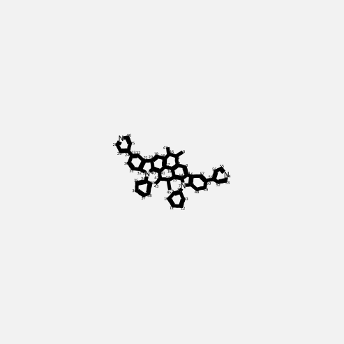 CC1c2cc3c4c(n(-c5ccccc5)c3c3c2-c2c(cc5c6cc(-c7ccncc7)ccc6n(-c6ccccc6)c5c2C(C)C3C)C1C)CCC(c1ccncc1)=C4